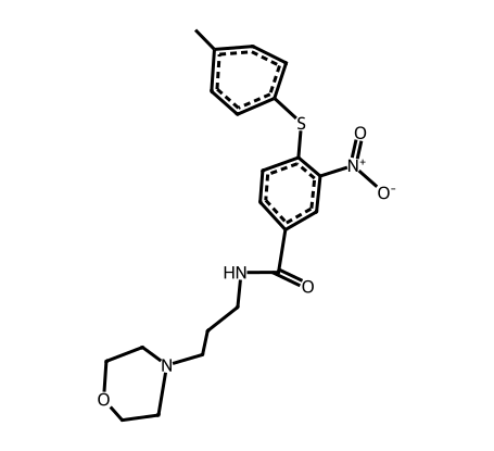 Cc1ccc(Sc2ccc(C(=O)NCCCN3CCOCC3)cc2[N+](=O)[O-])cc1